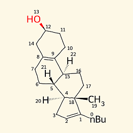 CCCCC1=CC[C@H]2[C@@H]3CCC4=C(CC[C@H](O)C4)[C@H]3CC[C@]12C